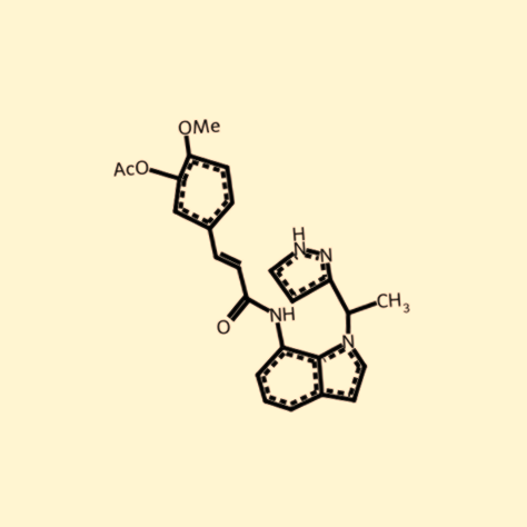 COc1ccc(C=CC(=O)Nc2cccc3ccn(C(C)c4cc[nH]n4)c23)cc1OC(C)=O